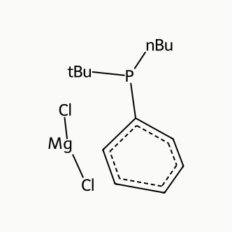 CCCCP(c1ccccc1)C(C)(C)C.[Cl][Mg][Cl]